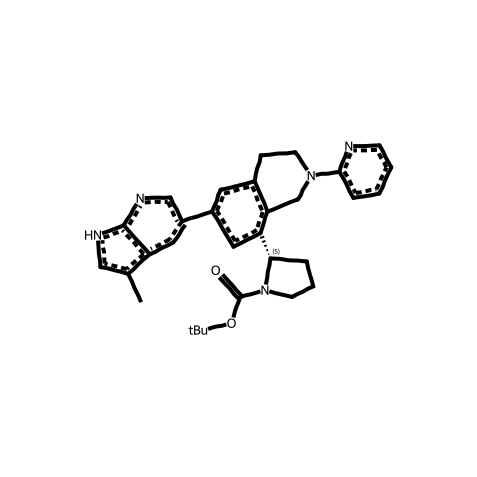 Cc1c[nH]c2ncc(-c3cc4c(c([C@@H]5CCCN5C(=O)OC(C)(C)C)c3)CN(c3ccccn3)CC4)cc12